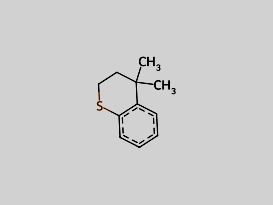 CC1(C)CCSc2ccccc21